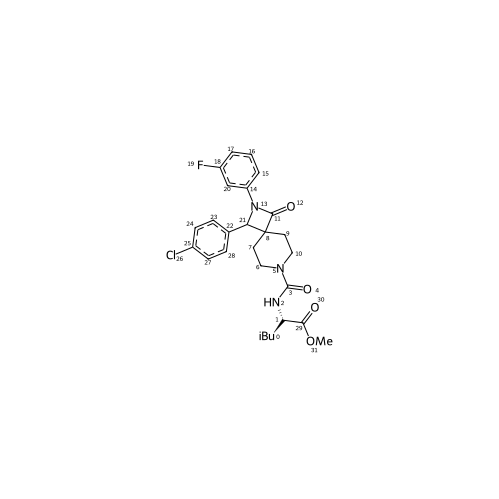 CC[C@H](C)[C@H](NC(=O)N1CCC2(CC1)C(=O)N(c1cccc(F)c1)C2c1ccc(Cl)cc1)C(=O)OC